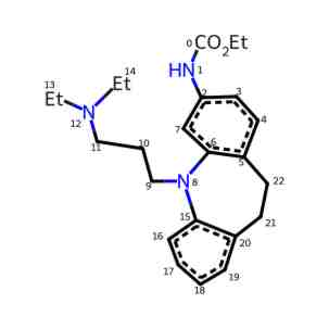 CCOC(=O)Nc1ccc2c(c1)N(CCCN(CC)CC)c1ccccc1CC2